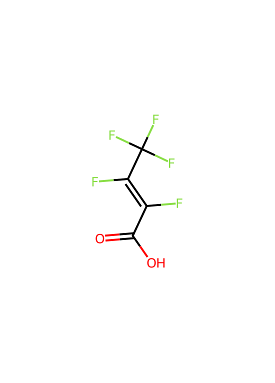 O=C(O)/C(F)=C(\F)C(F)(F)F